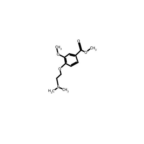 COC(=O)c1ccc(OCCN(C)C)c(OC)c1